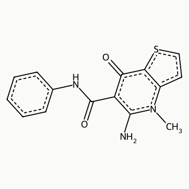 Cn1c(N)c(C(=O)Nc2ccccc2)c(=O)c2sccc21